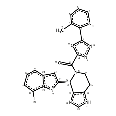 Cc1cccnc1-c1nnc(C(=O)N2CCc3[nH]cnc3[C@H]2c2cc3cccc(I)n3n2)o1